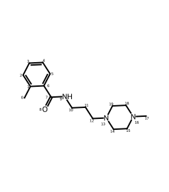 Cc1ccccc1C(=O)NCCCN1CCN(C)CC1